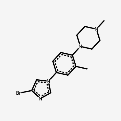 Cc1cc(-n2cnc(Br)c2)ccc1N1CCN(C)CC1